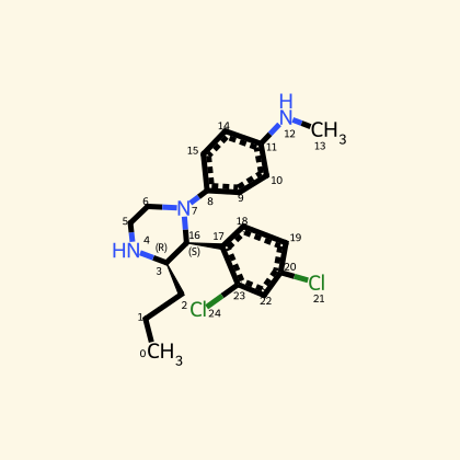 CCC[C@H]1NCCN(c2ccc(NC)cc2)[C@H]1c1ccc(Cl)cc1Cl